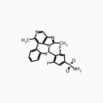 Cc1ncc2nc(C)n(Cc3c(F)cc(S(N)(=O)=O)cc3F)c2c1-c1ccccc1F